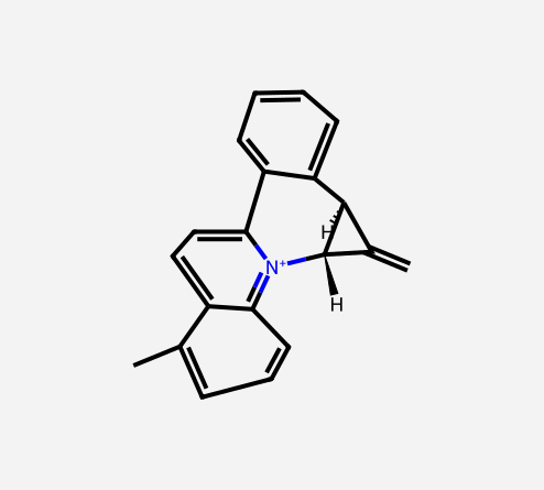 C=C1[C@@H]2c3ccccc3-c3ccc4c(C)cccc4[n+]3[C@@H]12